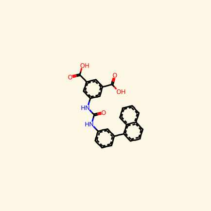 O=C(Nc1cc(C(=O)O)cc(C(=O)O)c1)Nc1cccc(-c2cccc3ccccc23)c1